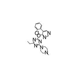 CCc1nc(Oc2ncncc2-c2ccccc2Cl)nc(N2CCN(C)CC2)n1